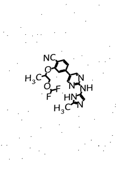 Cc1ncc(Nc2ncc(-c3ccc(C#N)c(OC(C)COC(F)F)c3)cn2)[nH]1